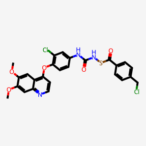 COc1cc2nccc(Oc3ccc(NC(=O)NSC(=O)c4ccc(CCl)cc4)cc3Cl)c2cc1OC